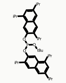 CC(C)c1cc(C(C)C)c2cc(OP(Oc3cc4c(C(C)C)cc(C(C)C)cc4cc3C(C)C)OC(C)(C)C)c(C(C)C)cc2c1